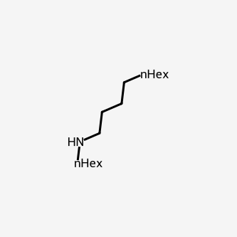 [CH2]CCCCCNCCCCCCCCCC